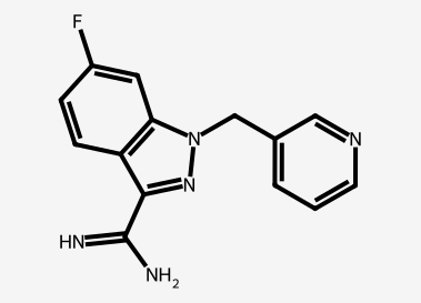 N=C(N)c1nn(Cc2cccnc2)c2cc(F)ccc12